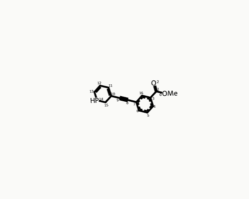 COC(=O)c1cccc(C#CC2=CC=CPC2)c1